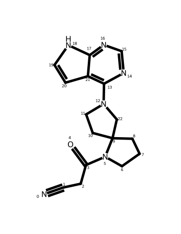 N#CCC(=O)N1CCCC12CCN(c1ncnc3[nH]ccc13)C2